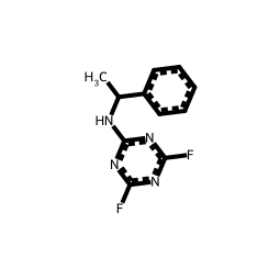 CC(Nc1nc(F)nc(F)n1)c1ccccc1